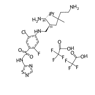 CC(C)[C@@H](N)[C@H](CNc1cc(F)c(S(=O)(=O)Nc2ncns2)cc1Cl)CC(C)(C)CCN.O=C(O)C(F)(F)F.O=C(O)C(F)(F)F